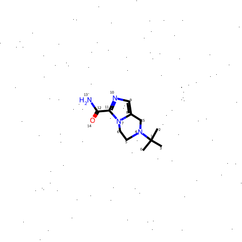 CC(C)(C)N1CCn2c(cnc2C(N)=O)C1